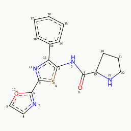 O=C(Nc1sc(-c2ncco2)nc1-c1ccccc1)C1CCCN1